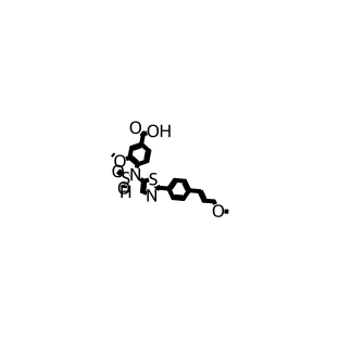 COCC=Cc1ccc(-c2ncc(N(c3ccc(C(=O)O)cc3OC)[SH](=O)=O)s2)cc1